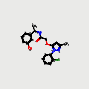 C[C@@H](NC(=O)COc1cc(C(F)(F)F)nn1-c1ccccc1Cl)c1cccc(O)c1